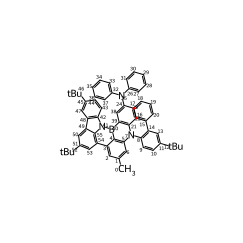 Cc1cc2c3c(c1)N(c1ccc(C(C)(C)C)cc1-c1ccccc1)c1ccc(N(c4ccccc4)c4ccccc4)cc1B3n1c3ccc(C(C)(C)C)cc3c3cc(C(C)(C)C)cc-2c31